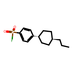 CCC[C@H]1CC[C@H](c2ccc(S(=O)(=O)F)cc2)CC1